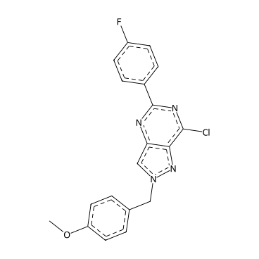 COc1ccc(Cn2cc3nc(-c4ccc(F)cc4)nc(Cl)c3n2)cc1